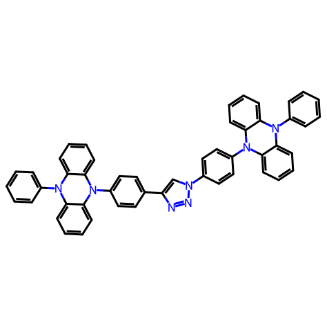 c1ccc(N2c3ccccc3N(c3ccc(-c4cn(-c5ccc(N6c7ccccc7N(c7ccccc7)c7ccccc76)cc5)nn4)cc3)c3ccccc32)cc1